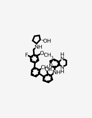 COc1cc(-c2cccc(-c3cccc(Nc4nccc5c4NCCN5)c3C)c2C)cc(F)c1CN[C@@H]1CCC[C@@H]1O